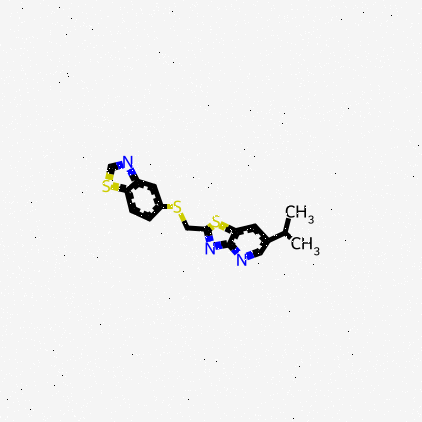 CC(C)c1cnc2nc(CSc3ccc4scnc4c3)sc2c1